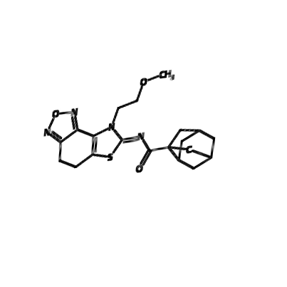 COCCn1c2c(sc1=NC(=O)C13CC4CC(CC1C4)C3)CCc1nonc1-2